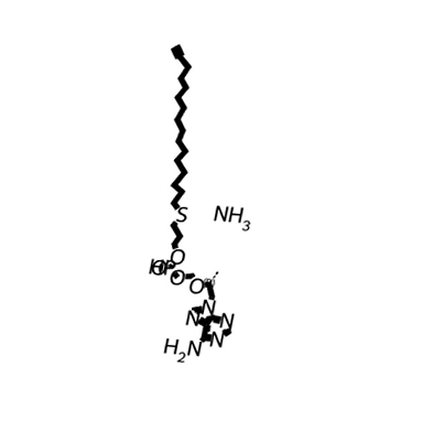 C#CCCCCCCCCCCCCCCSCCCO[PH](=O)OCO[C@H](C)Cn1cnc2c(N)ncnc21.N